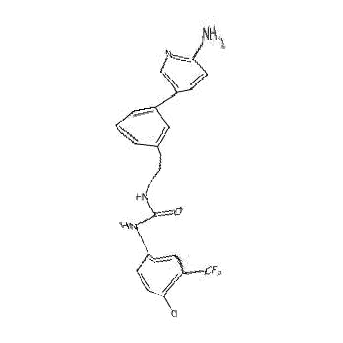 Nc1ccc(-c2cccc(CNC(=O)Nc3ccc(Cl)c(C(F)(F)F)c3)c2)cn1